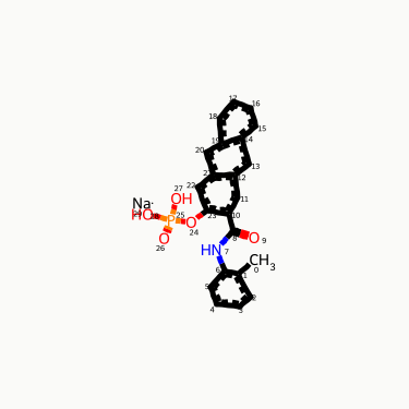 Cc1ccccc1NC(=O)c1cc2cc3ccccc3cc2cc1OP(=O)(O)O.[Na]